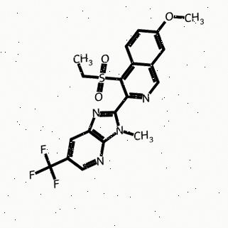 CCS(=O)(=O)c1c(-c2nc3cc(C(F)(F)F)cnc3n2C)ncc2cc(OC)ccc12